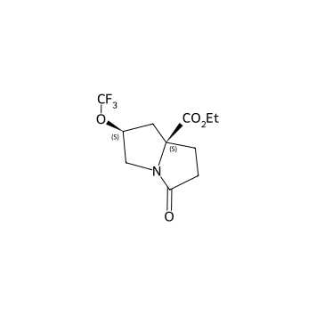 CCOC(=O)[C@@]12CCC(=O)N1C[C@@H](OC(F)(F)F)C2